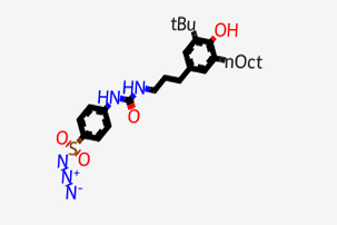 CCCCCCCCc1cc(CCCNC(=O)Nc2ccc(S(=O)(=O)N=[N+]=[N-])cc2)cc(C(C)(C)C)c1O